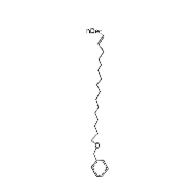 CCCCCCCCCC/C=C/CCCCCCCCCCCCCCOCc1ccccc1